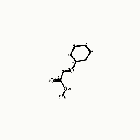 O=C(COC1CCCCC1)OCl